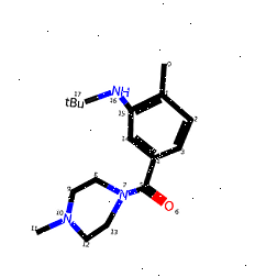 Cc1ccc(C(=O)N2CCN(C)CC2)cc1NC(C)(C)C